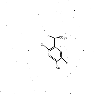 CC(C(=O)O)c1cc(F)c(C#N)cc1Cl